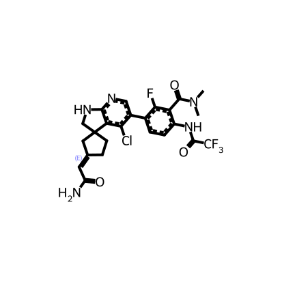 CN(C)C(=O)c1c(NC(=O)C(F)(F)F)ccc(-c2cnc3c(c2Cl)C2(CC/C(=C\C(N)=O)C2)CN3)c1F